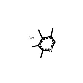 Cc1cnc(C)c(C)c1C.[LiH]